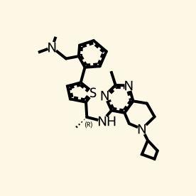 Cc1nc2c(c(N[C@H](C)c3ccc(-c4ccccc4CN(C)C)s3)n1)CN(C1CCC1)CC2